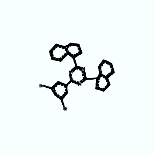 Brc1cc(Br)cc(-c2nc(-c3cccc4ccccc34)nc(-c3cccc4ccccc34)n2)c1